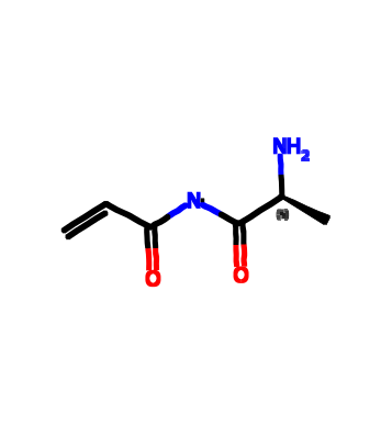 C=CC(=O)[N]C(=O)[C@H](C)N